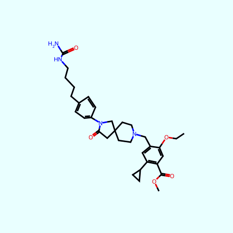 CCOc1cc(C(=O)OC)c(C2CC2)cc1CN1CCC2(CC1)CC(=O)N(c1ccc(CCCCNC(N)=O)cc1)C2